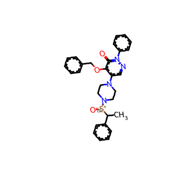 CC(c1ccccc1)[S@@+]([O-])N1CCN(c2cnn(-c3ccccc3)c(=O)c2OCc2ccccc2)CC1